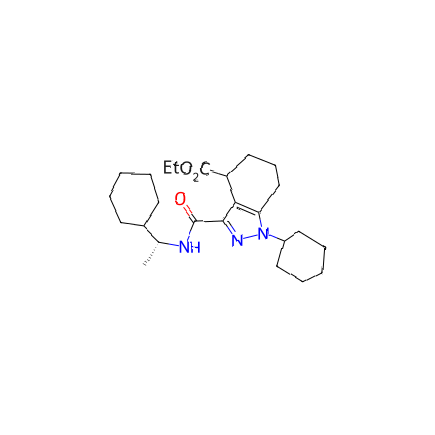 CCOC(=O)C1CCCc2c1c(C(=O)N[C@H](C)C1CCCCC1)nn2C1CCCCC1